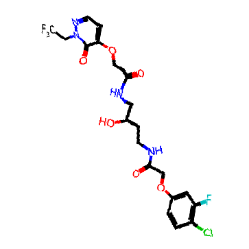 O=C(COc1ccc(Cl)c(F)c1)NCCC(O)CNC(=O)COc1ccnn(CC(F)(F)F)c1=O